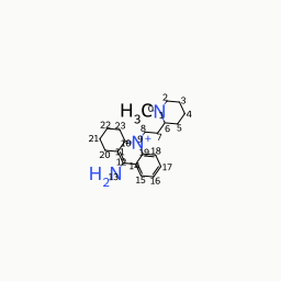 CN1CCCCC1CC[n+]1c2c(c(N)c3ccccc31)CCCC2